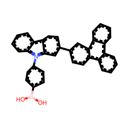 OB(O)c1ccc(-n2c3ccccc3c3ccc(-c4ccc5c6ccccc6c6ccccc6c5c4)cc32)cc1